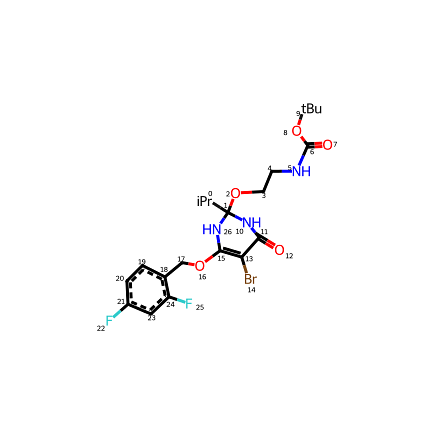 CC(C)C1(OCCNC(=O)OC(C)(C)C)NC(=O)C(Br)=C(OCc2ccc(F)cc2F)N1